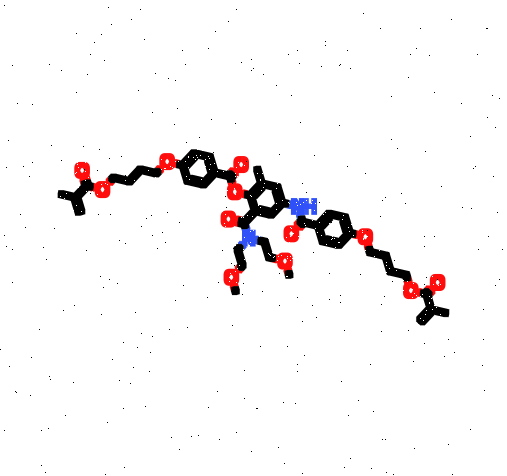 C=C(C)C(=O)OCCCCOc1ccc(C(=O)Nc2cc(C)c(OC(=O)c3ccc(OCCCCOC(=O)C(=C)C)cc3)c(C(=O)N(CCOC)CCOC)c2)cc1